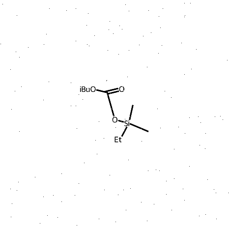 CC[Si](C)(C)OC(=O)OCC(C)C